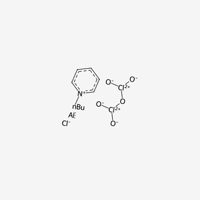 CCCC[n+]1ccccc1.[Al].[Cl-].[O-][Cl+2]([O-])O[Cl+2]([O-])[O-]